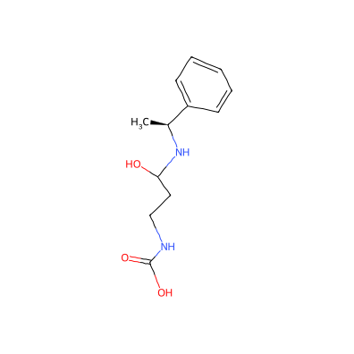 C[C@H](NC(O)CCNC(=O)O)c1ccccc1